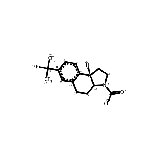 O=C(Cl)N1CC[C@H]2c3ccc(C(F)(C(F)(F)F)C(F)(F)F)cc3CCC21